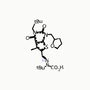 Cc1c(/C=N/N(C(=O)O)C(C)(C)C)sc2c1c(=O)n(CC(C)(C)C)c(=O)n2CC1CCCO1